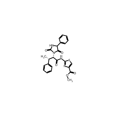 COC(=O)c1csc(NC(=O)[C@H]([C@@H](C)c2ccccc2)N2C(=O)NC(c3ccccc3)C2=O)n1